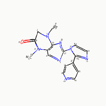 CC(C)N1CC(=O)N(C)c2cnc(-n3ccnc3-c3ccncc3)nc21